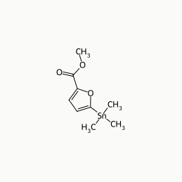 COC(=O)c1cc[c]([Sn]([CH3])([CH3])[CH3])o1